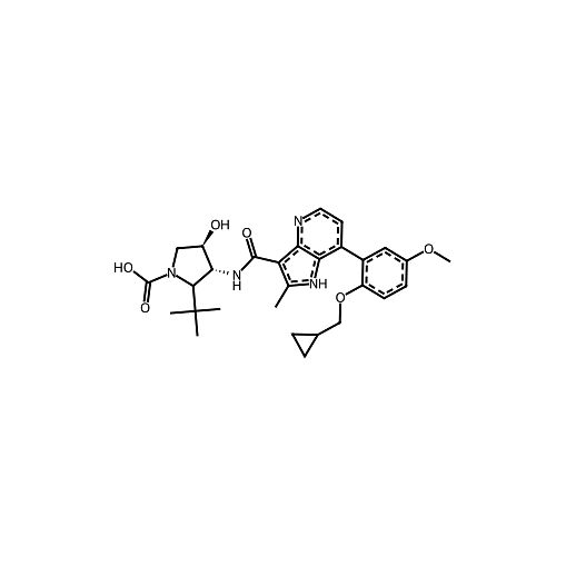 COc1ccc(OCC2CC2)c(-c2ccnc3c(C(=O)N[C@@H]4C(C(C)(C)C)N(C(=O)O)C[C@H]4O)c(C)[nH]c23)c1